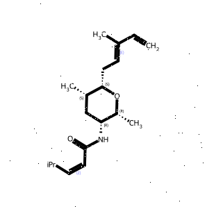 C=C/C(C)=C/C[C@@H]1O[C@H](C)[C@H](NC(=O)/C=C\C(C)C)C[C@@H]1C